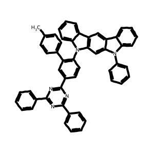 Cc1ccc(-c2cc(-c3nc(-c4ccccc4)nc(-c4ccccc4)n3)ccc2-n2c3ccccc3c3cc4c5ccccc5n(-c5ccccc5)c4cc32)cc1